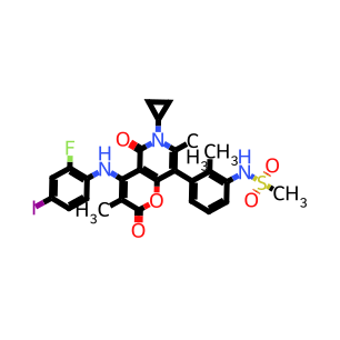 Cc1c(NS(C)(=O)=O)cccc1-c1c(C)n(C2CC2)c(=O)c2c(Nc3ccc(I)cc3F)c(C)c(=O)oc12